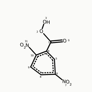 O=C(OO)c1cc([N+](=O)[O-])ccc1[N+](=O)[O-]